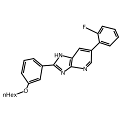 CCCCCCOc1cccc(-c2nc3ncc(-c4ccccc4F)cc3[nH]2)c1